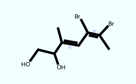 C/C(Br)=C(Br)\C=C(/C)C(O)CO